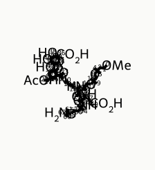 COCCC(C)(C)OCC(C)(C)OCC(=O)N[C@@H](CCCCNC(=O)c1cc(COC(C)=O)ccc1O[C@@H]1O[C@H](C(=O)O)[C@@H](O)[C@H](O)[C@H]1O)C(=O)N[C@@H](CCC(=O)O)C(=O)NC(C)(C)CCOC(C)(C)N